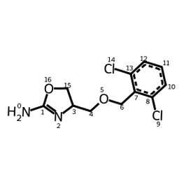 NC1=NC(COCc2c(Cl)cccc2Cl)CO1